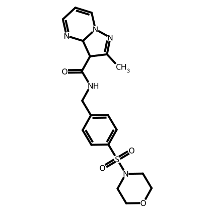 CC1=NN2C=CC=NC2C1C(=O)NCc1ccc(S(=O)(=O)N2CCOCC2)cc1